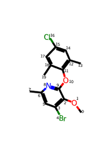 COc1c(Br)cc(C)nc1Oc1c(C)cc(Cl)cc1C